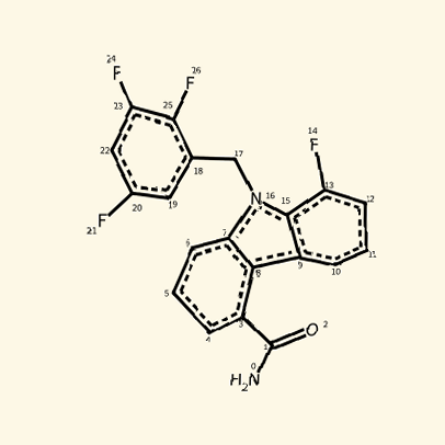 NC(=O)c1cccc2c1c1[c]ccc(F)c1n2Cc1cc(F)cc(F)c1F